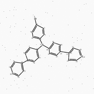 Brc1ccc(N(c2ccc(-c3ccncc3)cc2)c2ccc(-c3ccncc3)cc2)cc1